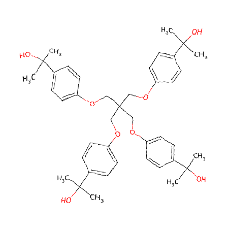 CC(C)(O)c1ccc(OCC(COc2ccc(C(C)(C)O)cc2)(COc2ccc(C(C)(C)O)cc2)COc2ccc(C(C)(C)O)cc2)cc1